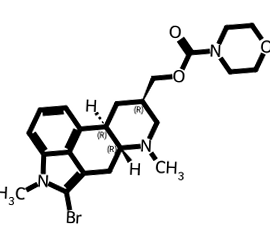 CN1C[C@H](COC(=O)N2CCOCC2)C[C@@H]2c3cccc4c3c(c(Br)n4C)C[C@H]21